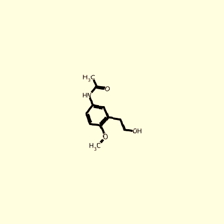 COc1ccc(NC(C)=O)cc1CCO